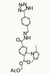 CC(=O)OCOC(=O)c1ccc(C(=O)N/N=C/c2ccc(-c3nnn[nH]3)cc2)cc1-n1c(C)ccc1C